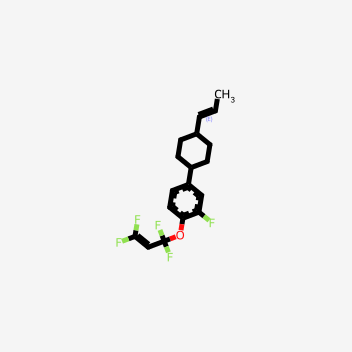 C/C=C/C1CCC(c2ccc(OC(F)(F)C=C(F)F)c(F)c2)CC1